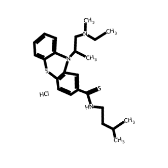 CCN(C)CC(C)N1c2ccccc2Sc2ccc(C(=S)NCCC(C)C)cc21.Cl